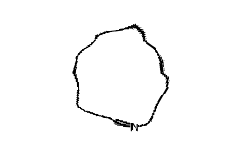 C1=NCCCCCCCCCCCCCCC1